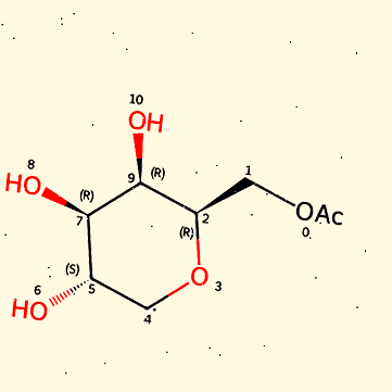 CC(=O)OC[C@H]1O[CH][C@H](O)[C@@H](O)[C@H]1O